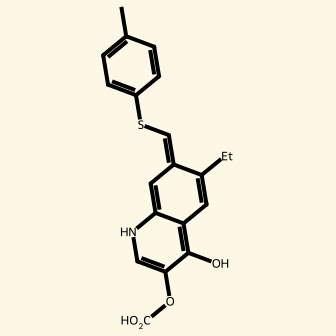 CCc1cc2c(cc1=CSc1ccc(C)cc1)NC=C(OC(=O)O)C=2O